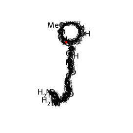 CO[C@H]1CC2CCCC(O2)C(=O)C(=O)N2CCCC[C@H]2C(=O)O[C@H](CC[C@H]2CC[C@H](OC(=O)NCc3cnc(N4CCN(C(=O)CCOCCN5CCN(c6ncc(C(=O)N7CCc8cc(Cn9nc(-c%10ccc%11oc(N)nc%11c%10)c%10c(N)ncnc%109)ccc8C7)cn6)CC5)CC4)nc3)CC2)CC(=O)[C@H](C)/C=C(\C)[C@@H](O)CC(=O)[C@H](C)C[C@H](C)/C=C/C=C/C=C/1C